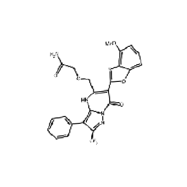 COc1cccc2oc(-c3c(COCC(N)=O)[nH]c4c(-c5ccccc5)c(C(F)(F)F)nn4c3=O)nc12